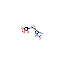 COc1ccc(CN(C)C(=O)/C=C/c2cnc3c(c2)CN(C)CC(=O)N3)c(OC)c1OC